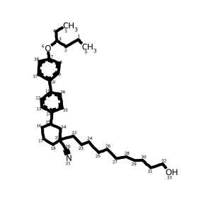 CCCC(CC)Oc1ccc(-c2ccc(C3CCCC(C#N)(CCCCCCCCCCCO)C3)cc2)cc1